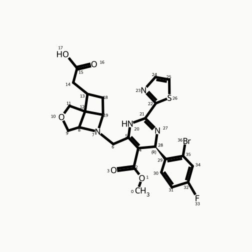 COC(=O)C1=C(CN2C3COCC34C(CC(=O)O)CC24)NC(c2nccs2)=N[C@H]1c1ccc(F)cc1Br